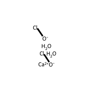 O.O.[Ca+2].[O-]Cl.[O-]Cl